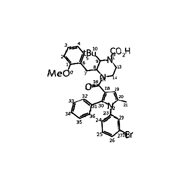 COc1ccccc1CC1C(C(C)(C)C)N(C(=O)O)CCN1C(=O)c1cc(C)n(-c2cccc(Br)c2)c1-c1ccccc1